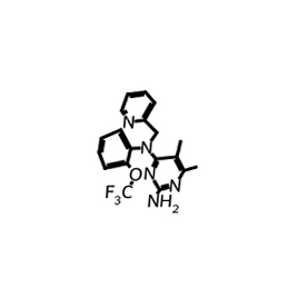 Cc1nc(N)nc(N(Cc2ccccn2)c2ccccc2OC(F)(F)F)c1C